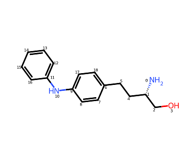 N[C@H](CO)CCc1ccc(Nc2ccccc2)cc1